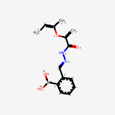 C=C(O/C(C)=C\C)C(=O)N/N=C/c1ccccc1B(O)O